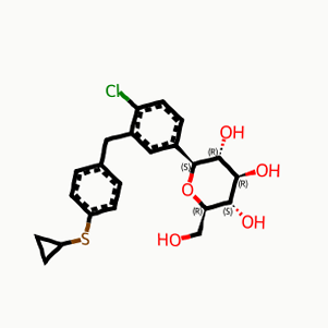 OC[C@H]1O[C@@H](c2ccc(Cl)c(Cc3ccc(SC4CC4)cc3)c2)[C@H](O)[C@@H](O)[C@@H]1O